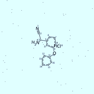 Cl.N#CC(N)c1cccc(Oc2ccccc2)c1